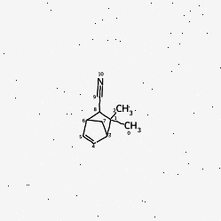 CC1(C)C2C=CC(C2)C1C#N